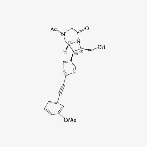 COc1cccc(C#Cc2ccc([C@@H]3[C@H](CO)N4C(=O)CN(C(C)=O)C[C@@H]34)cc2)c1